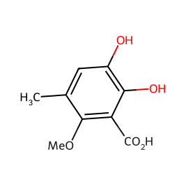 COc1c(C)cc(O)c(O)c1C(=O)O